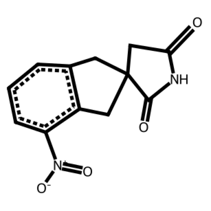 O=C1CC2(Cc3cccc([N+](=O)[O-])c3C2)C(=O)N1